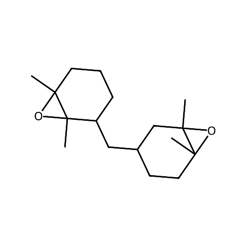 CC12CCC(CC3CCCC4(C)OC34C)CC1(C)O2